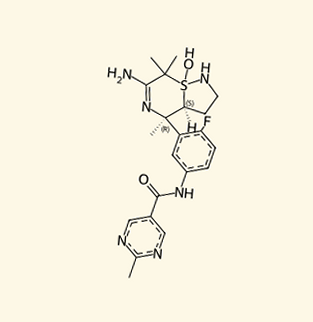 Cc1ncc(C(=O)Nc2ccc(F)c([C@@]3(C)N=C(N)C(C)(C)S4(O)NCC[C@@H]34)c2)cn1